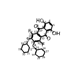 O=C1c2c(O)ccc(O)c2C(=O)c2c(F)c(SC3CCCCC3)c(SC3CCCCC3)c(F)c21